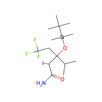 CC(C)C(CC(F)(F)F)(O[Si](C)(C)C(C)(C)C)C(I)C(N)=O